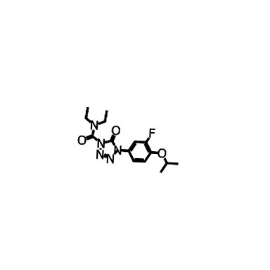 CCN(CC)C(=O)n1nnn(-c2ccc(OC(C)C)c(F)c2)c1=O